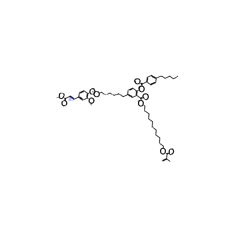 C=C(C)C(=O)OCCCCCCCCCCCOC(=O)c1cc(CCCCCCOOc2ccc(/C=C/C(=O)OC)cc2OC)ccc1OC(=O)c1ccc(CCCCC)cc1